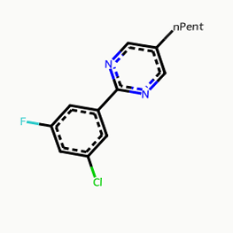 CCCCCc1cnc(-c2cc(F)cc(Cl)c2)nc1